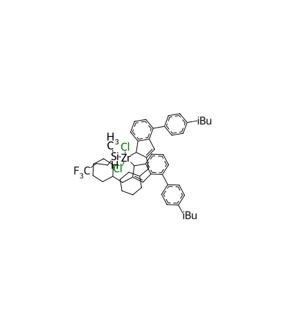 CCC(C)c1ccc(-c2cccc3c2C=C(CC2CCCCC2)[CH]3[Zr]([Cl])([Cl])([CH]2C(CC3CCCCC3)=Cc3c(-c4ccc(C(C)CC)cc4)cccc32)[SiH](C)CCC(F)(F)F)cc1